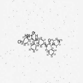 CN1CCN(CC(=O)N(Cc2ccccc2)c2ccc(N/C(=C3\C(=O)Nc4cc(Cl)ccc43)c3ccccc3)cc2)CC1